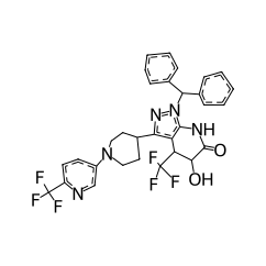 O=C1Nc2c(c(C3CCN(c4ccc(C(F)(F)F)nc4)CC3)nn2C(c2ccccc2)c2ccccc2)C(C(F)(F)F)C1O